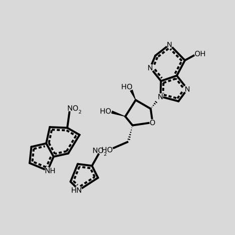 O=[N+]([O-])c1cc[nH]c1.O=[N+]([O-])c1ccc2[nH]ccc2c1.OC[C@H]1O[C@@H](n2cnc3c(O)ncnc32)[C@H](O)[C@@H]1O